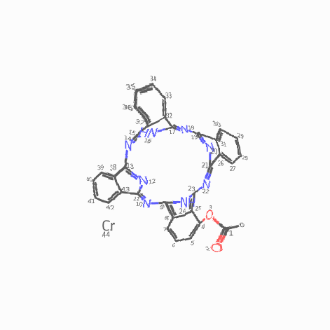 CC(=O)Oc1cccc2c3nc4nc(nc5[nH]c(nc6nc(nc([nH]3)c12)-c1ccccc1-6)c1ccccc51)-c1ccccc1-4.[Cr]